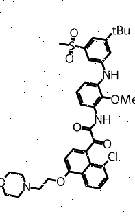 COc1c(NC(=O)C(=O)c2ccc(OCCN3CCOCC3)c3cccc(Cl)c23)cccc1Nc1cc(C(C)(C)C)cc(S(C)(=O)=O)c1